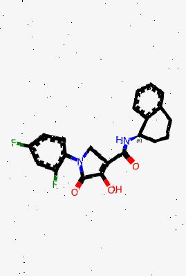 O=C(N[C@@H]1CCCc2ccccc21)C1=C(O)C(=O)N(c2ccc(F)cc2F)C1